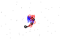 O=C(Nc1cccc2c(=O)cc(-c3nnnn3O)oc12)c1ccc(OCCCCc2ccccc2)cc1